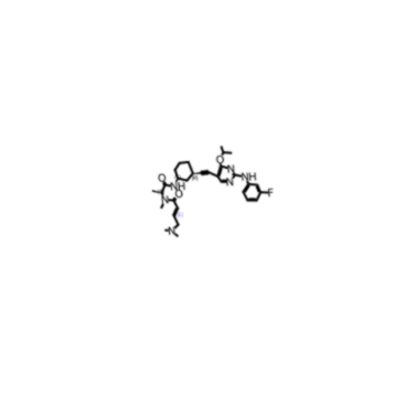 CC(C)Oc1nc(Nc2cccc(F)c2)ncc1C#C[C@@H]1CCC[C@H](NC(=O)[C@H](C)N(C)C(=O)/C=C/CN(C)C)C1